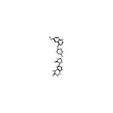 COc1ccc2ncnc(OC3CCN(C[C@@H]4CN(c5ccc6c(c5)NC(=O)CS6)C(=O)O4)CC3)c2c1